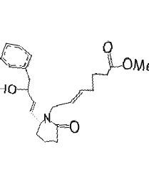 COC(=O)CCCC=CCN1C(=O)CCC[C@@H]1C=CC(O)Cc1ccccc1